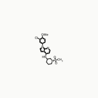 COc1ccc(-n2ccc3c(NC4CCCN(S(C)(=O)=O)C4)ccnc32)cc1Cl